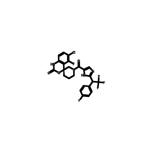 O=C1Nc2ccc(Cl)c(F)c2[C@@]2(CCCN(C(=O)c3cnc(C(c4ccc(F)cc4)C(F)(F)F)[nH]3)C2)O1